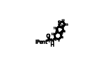 CCCC(C)C(=O)NC1CCc2cc3c(cc2C1)SCC3